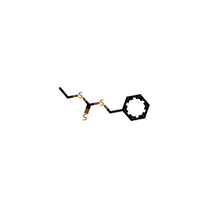 CCSC(=S)SCc1ccccc1